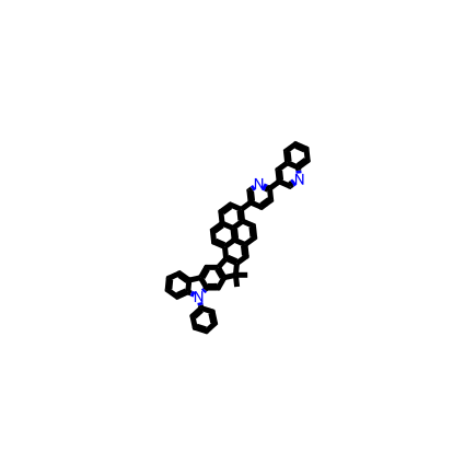 CC1(C)c2cc3c(cc2-c2c1cc1ccc4c(-c5ccc(-c6cnc7ccccc7c6)nc5)ccc5ccc2c1c54)c1ccccc1n3-c1ccccc1